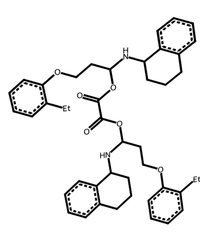 CCc1ccccc1OCCC(NC1CCCc2ccccc21)OC(=O)C(=O)OC(CCOc1ccccc1CC)NC1CCCc2ccccc21